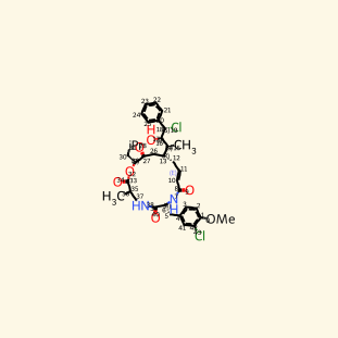 COc1ccc(C[C@H]2NC(=O)/C=C/C[C@@H]([C@H](C)[C@@H](O)[C@@H](Cl)c3ccccc3)CC(=O)[C@H](CC(C)C)OC(=O)C(C)CNC2=O)cc1Cl